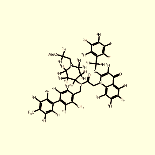 [2H]c1c([2H])c(F)c(F)c(C([2H])([2H])Sc2c([2H])c(=O)c3c([2H])c([2H])c([2H])c([2H])c3n2CC(=O)N(Cc2c([2H])c([2H])c(-c3c([2H])c([2H])c(C(F)(F)F)c([2H])c3[2H])c([2H])c2C)C2([2H])C([2H])([2H])C([2H])([2H])N(CC([2H])([2H])OC)C([2H])([2H])C2([2H])[2H])c1[2H]